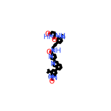 CC(C)c1cc(-c2cccc3cc(-c4ccc(C(=O)NCC#Cc5ccc(N(C)C)c(NC6CCC(=O)NC6=O)c5)nc4)ncc23)cc2c1n(C)c(=O)n2C